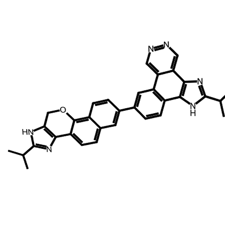 CC(C)c1nc2c([nH]1)COc1c-2ccc2cc(-c3ccc4c(c3)c3cnncc3c3nc(C(C)C)[nH]c43)ccc12